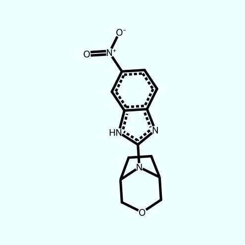 O=[N+]([O-])c1ccc2nc(N3C4CCC3COC4)[nH]c2c1